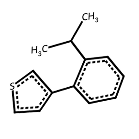 CC(C)c1ccccc1-c1ccsc1